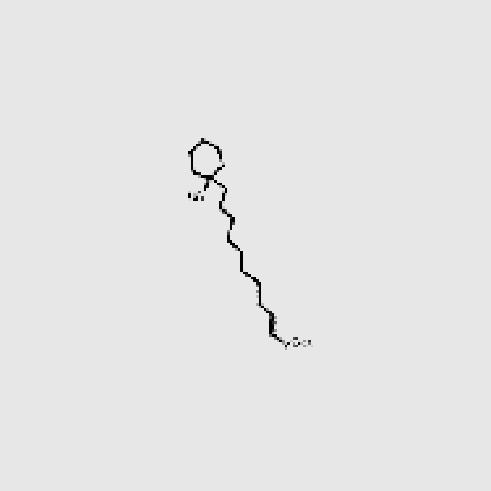 CCCCCCCCC=CCCCCCCCCC1([NH])CCCCC1